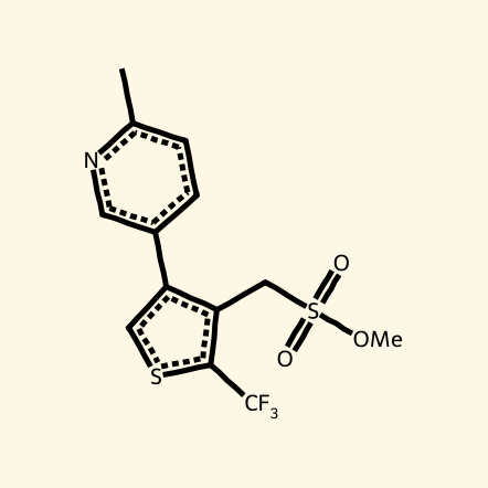 COS(=O)(=O)Cc1c(-c2ccc(C)nc2)csc1C(F)(F)F